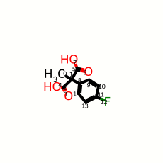 CC(C(=O)O)(C(=O)O)c1ccc(F)cc1